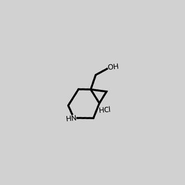 Cl.OCC12CCNCC1C2